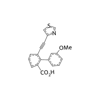 COc1cccc(-c2c(C#Cc3cscn3)cccc2C(=O)O)c1